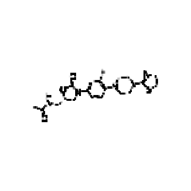 CC(=O)NC[C@H]1CN(c2ccc(N3CCN(C4=NCCS4)CC3)c(F)c2)C(=O)O1